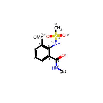 CCNC(=O)c1cccc(OC)c1NS(C)(=O)=O